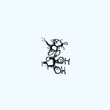 C/C=C1/C(O[C@@H]2OC(C)CC(O)[C@H]2O)OC=C(C)C1C(C)C